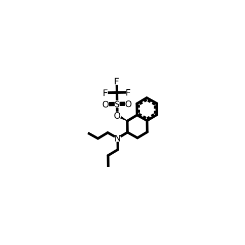 CCCN(CCC)C1CCc2ccccc2[C@@H]1OS(=O)(=O)C(F)(F)F